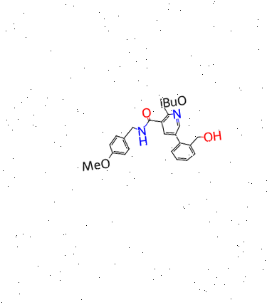 COc1ccc(CNC(=O)c2cc(-c3ccccc3CO)cnc2OCC(C)C)cc1